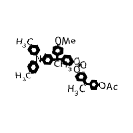 COc1ccc(C(C)(c2ccc(OC(=O)Oc3ccc(C(C)c4ccc(OC(C)=O)cc4)cc3)cc2)c2ccc(N(c3ccc(C)cc3)c3ccc(C)cc3)cc2)cc1